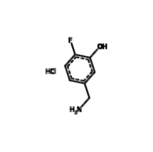 Cl.NCc1ccc(F)c(O)c1